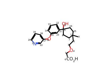 CC1(CCOCC(=O)O)CCC(O)(c2cccc(Oc3cccnc3)c2)CC1